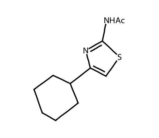 CC(=O)Nc1nc(C2CCCCC2)cs1